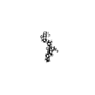 CCNC(=O)c1cc(Oc2ccc(NC(=O)c3nn(-c4cccc(OC(F)(F)F)c4)c(=O)cc3C)cc2F)ccn1